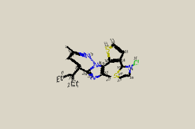 CCC(CC)c1cc(C)nn2c(-c3sccc3C3SC=CN3Cl)c(C)nc12